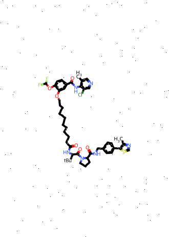 Cc1cncc(Cl)c1NC(=O)c1ccc(OC(F)F)c(OCCCCCCCCCCC(=O)NC(C(=O)N2CCCC2C(=O)NCc2ccc(-c3scnc3C)cc2)C(C)(C)C)c1